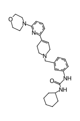 O=C(Nc1cccc(CN2CC=C(c3cccc(N4CCOCC4)n3)CC2)c1)NC1CCCCC1